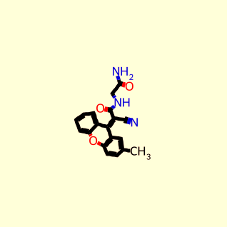 Cc1ccc2c(c1)C(=C(C#N)C(=O)NCC(N)=O)c1ccccc1O2